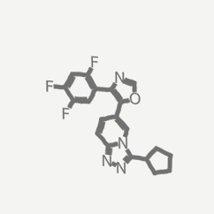 Fc1cc(F)c(-c2ncoc2-c2ccc3nnc(C4CCCC4)n3c2)cc1F